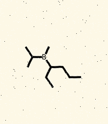 CCCC(CC)B(C)C(C)C